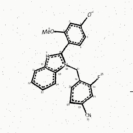 COc1cc(Cl)ccc1-c1nc2ccccc2n1Cc1ccc(C#N)cc1F